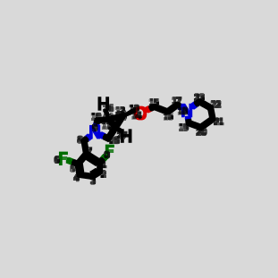 Fc1cccc(F)c1CN1C[C@@H]2[C@@H](COCCCN3CCCCC3)[C@@H]2C1